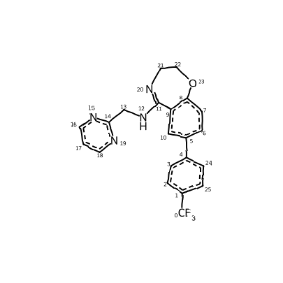 FC(F)(F)c1ccc(-c2ccc3c(c2)C(NCc2ncccn2)=NCCO3)cc1